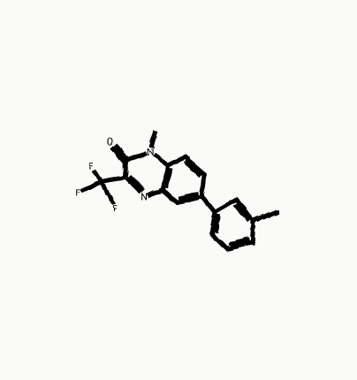 Cc1cccc(-c2ccc3c(c2)nc(C(F)(F)F)c(=O)n3C)c1